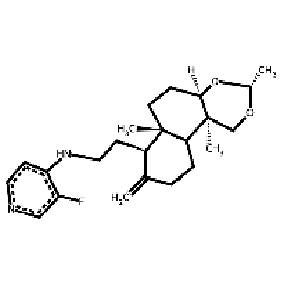 C=C1CCC2[C@]3(C)CO[C@@H](C)O[C@@H]3CC[C@@]2(C)[C@@H]1CCNc1ccncc1F